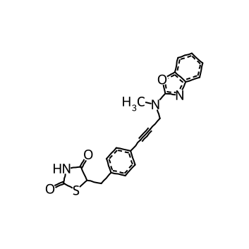 CN(CC#Cc1ccc(CC2SC(=O)NC2=O)cc1)c1nc2ccccc2o1